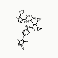 Cc1n[nH]c(C)c1-c1ccc(NC(=O)C(C(=N)NC(=N)c2ccnn2C2CCC2)C(C2CC2)C2CC2)cc1